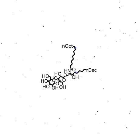 CCCCCCCC/C=C\CCCCCCCC(=O)N[C@@H](CO[C@@H]1OC(CO)[C@@H](O[C@@H]2OC(CO)[C@H](O)[C@H](O)C2O)[C@H](O)C1O)[C@H](O)/C=C/CCCCCCCCCCCCC